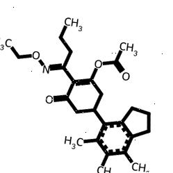 CCC/C(=N\OCC)C1=C(OC(C)=O)CC(c2c(C)c(C)c(C)c3c2CCC3)CC1=O